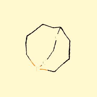 C1CC2CCCP(C1)CCC2